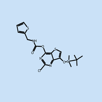 CC(C)(C)[Si](C)(C)Oc1csc2c(OC(=O)NCc3cccs3)nc(Cl)nc12